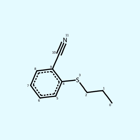 CCCSc1ccccc1C#N